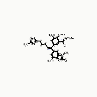 CO/N=C(\Cl)c1cc(/C(=C\CCCc2nc(C)no2)c2cc(C)c3oc(=O)n(C)c3c2)cc(C)c1OC